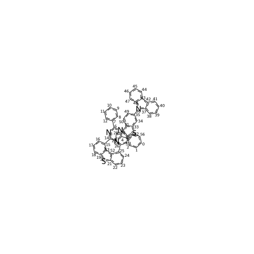 c1ccc(-c2nc(-c3ccccc3)nc(-c3cccc4sc5cccc(-c6ccc7c(c6)sc6cc(-n8c9ccccc9c9ccccc98)ccc67)c5c34)n2)cc1